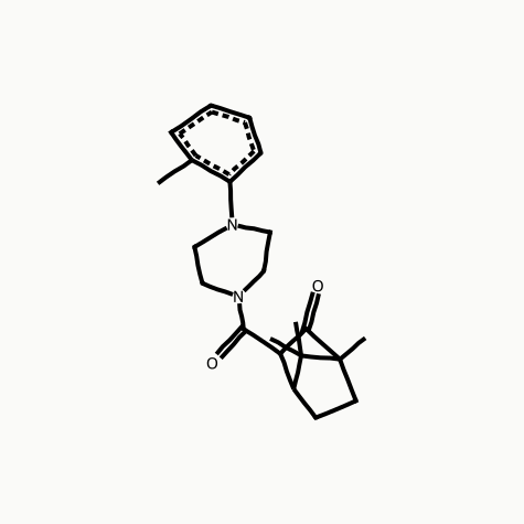 Cc1ccccc1N1CCN(C(=O)C2C(=O)C3(C)CCC2C3(C)C)CC1